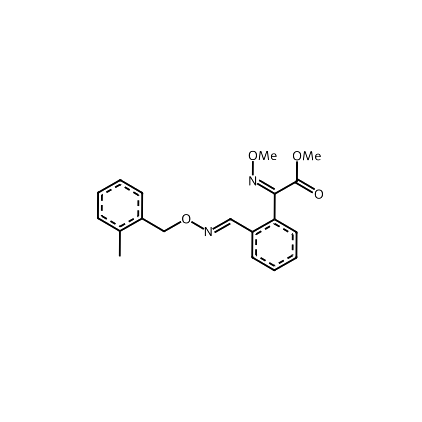 CON=C(C(=O)OC)c1ccccc1C=NOCc1ccccc1C